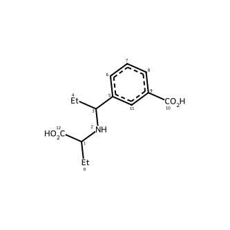 CCC(NC(CC)c1cccc(C(=O)O)c1)C(=O)O